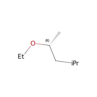 CCO[C@H](C)CC(C)C